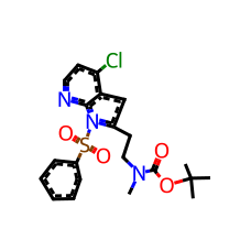 CN(CCc1cc2c(Cl)ccnc2n1S(=O)(=O)c1ccccc1)C(=O)OC(C)(C)C